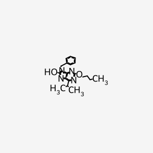 CCCCOc1nc(C(C)C)c2nc(O)n(Cc3ccccc3)c2n1